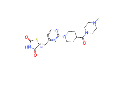 CN1CCN(C(=O)C2CCN(c3nccc(/C=C4\SC(=O)NC4=O)n3)CC2)CC1